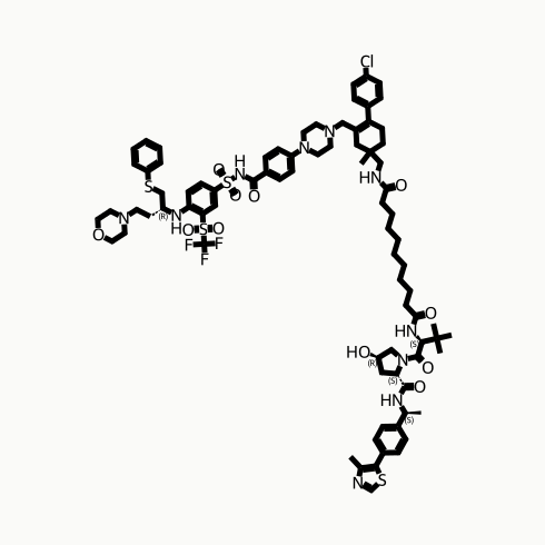 Cc1ncsc1-c1ccc([C@H](C)NC(=O)[C@@H]2C[C@@H](O)CN2C(=O)[C@@H](NC(=O)CCCCCCCCCC(=O)NCC2(C)CCC(c3ccc(Cl)cc3)=C(CN3CCN(c4ccc(C(=O)NS(=O)(=O)c5ccc(N[C@H](CCN6CCOCC6)CSc6ccccc6)c(S(=O)(=O)C(F)(F)F)c5)cc4)CC3)C2)C(C)(C)C)cc1